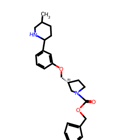 CC1CCC(c2cccc(OC[C@@H]3CCN(C(=O)OCc4ccccc4)C3)c2)NC1